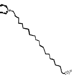 O=C(O)CCCCCCCCCCCCCCCCCCCC[n+]1ccccc1